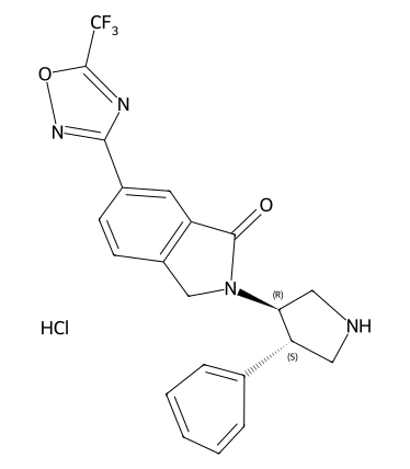 Cl.O=C1c2cc(-c3noc(C(F)(F)F)n3)ccc2CN1[C@H]1CNC[C@@H]1c1ccccc1